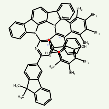 Bc1c(B)c(B)c(/C(=C(/C=C\C=C)n2c3ccccc3c3ccc4c5ccccc5n(-c5nc(-c6ccccc6)nc(-c6ccc7c(c6)-c6ccccc6C7(C)C)n5)c4c32)c2c(B)c(B)c(B)c(B)c2O)c(B)c1B